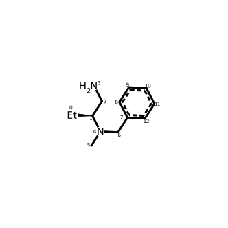 CC[C@@H](CN)N(C)Cc1ccccc1